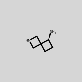 N[C@H]1CCC12CNC2